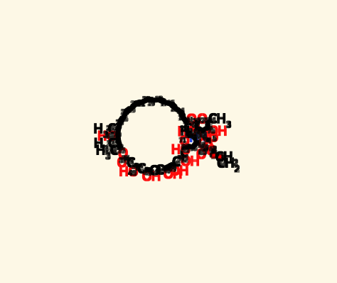 C=CCOC(=O)N[C@@H]1[C@H](O)[C@H](O[C@H]2/C=C/C=C/C=C/C=C/C=C/C=C/C=C/[C@H](C)[C@@H](O)[C@@H](C)[C@H](C)OC(=O)C[C@H](O)C[C@H](O)CC[C@@H](O)[C@H](O)C[C@H](O)C[C@]3(O)C[C@H](OC(=O)OCC=C)[C@@H](C(=O)O)[C@H](C2)O3)O[C@H](C)[C@H]1O